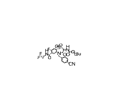 CC(C)(C)OC(=O)N[C@H]1CS(=O)(=O)c2cc(F)c(C(=O)NC3CC3(F)F)cc2N(Cc2ccc(C#N)cc2)C1=O